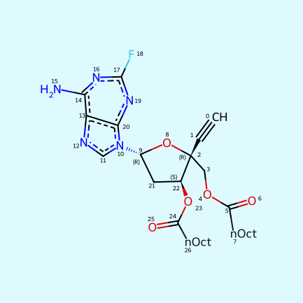 C#C[C@]1(COC(=O)CCCCCCCC)O[C@@H](n2cnc3c(N)nc(F)nc32)C[C@@H]1OC(=O)CCCCCCCC